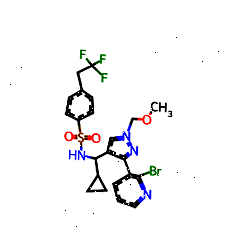 COCn1cc(C(NS(=O)(=O)c2ccc(CC(F)(F)F)cc2)C2CC2)c(-c2cccnc2Br)n1